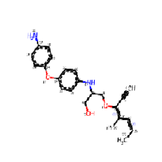 C#C/C(OCC(CO)Nc1ccc(Oc2ccc(N)cc2)cc1)=C(\C=C/C)C(C)C